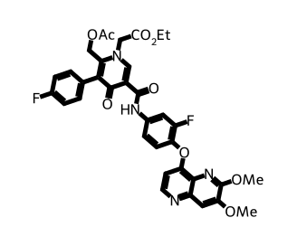 CCOC(=O)Cn1cc(C(=O)Nc2ccc(Oc3ccnc4cc(OC)c(OC)nc34)c(F)c2)c(=O)c(-c2ccc(F)cc2)c1COC(C)=O